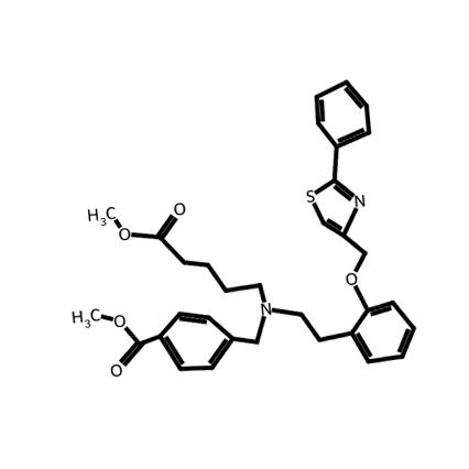 COC(=O)CCCCN(CCc1ccccc1OCc1csc(-c2ccccc2)n1)Cc1ccc(C(=O)OC)cc1